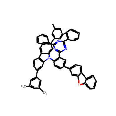 Cc1cc(C)cc(-c2ccc3c4ccc(-c5cc(C(F)(F)F)cc(C(F)(F)F)c5)cc4n(-c4ccc(-c5ccc6c(c5)oc5ccccc56)cc4-c4nc(-c5ccccc5)nc(-c5ccccc5)n4)c3c2)c1